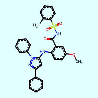 COc1ccc(Nc2cc(-c3ccccc3)nn2-c2ccccc2)c(C(=O)NS(=O)(=O)c2ccccc2C)c1